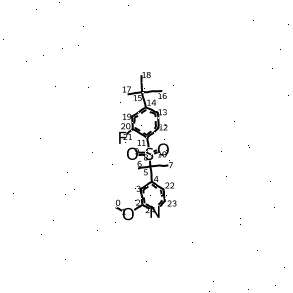 COc1cc(C(C)(C)S(=O)(=O)c2ccc(C(C)(C)C)cc2F)ccn1